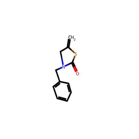 C=C1CN(Cc2ccccc2)C(=O)S1